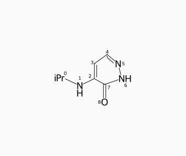 CC(C)Nc1c[c]n[nH]c1=O